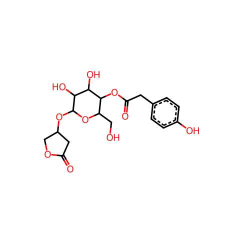 O=C1CC(OC2OC(CO)C(OC(=O)Cc3ccc(O)cc3)C(O)C2O)CO1